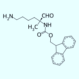 C[C@](C=O)(CCCCN)NC(=O)OCC1c2ccccc2-c2ccccc21